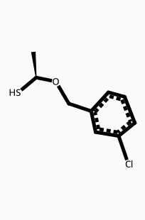 C[C@H](S)OCc1cccc(Cl)c1